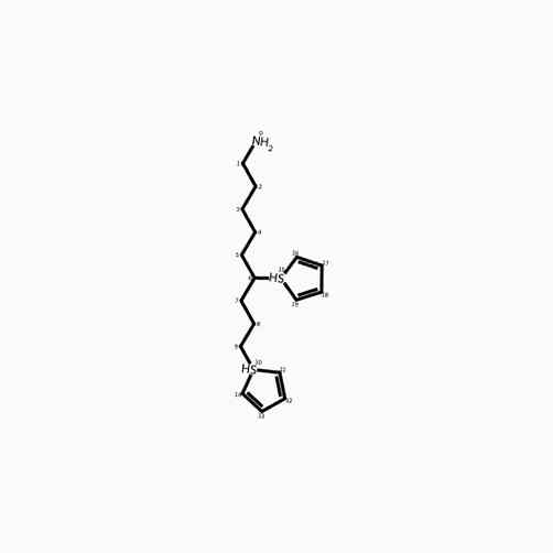 NCCCCCC(CCC[SH]1C=CC=C1)[SH]1C=CC=C1